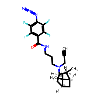 C#CCN(CCCNC(=O)c1c(F)c(F)c(N=[N+]=[N-])c(F)c1F)[C@@H]1C[C@@H]2C[C@H]([C@H]1C)C2(C)C